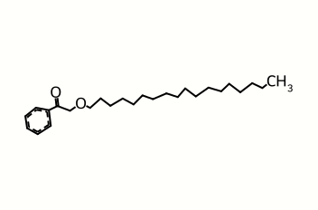 CCCCCCCCCCCCCCCCCCOCC(=O)c1ccccc1